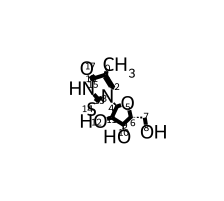 Cc1cn([C@@H]2O[C@H](CO)[C@H](O)C2O)c(=S)[nH]c1=O